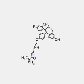 Cc1cc(F)ccc1C1=C(c2ccc(OCCNC/C=C/C(=O)N(C)C)cc2)c2ccc(O)cc2CCC1